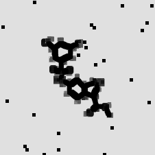 COC(=O)c1c[nH]c2cc(NS(=O)(=O)c3cc(Cl)cc(Cl)c3)ccc12